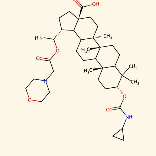 CC(OC(=O)CN1CCOCC1)[C@@H]1CC[C@]2(C(=O)O)CC[C@]3(C)C(CCC4[C@@]5(C)CC[C@@H](OC(=O)NC6CC6)C(C)(C)C5CC[C@]43C)C12